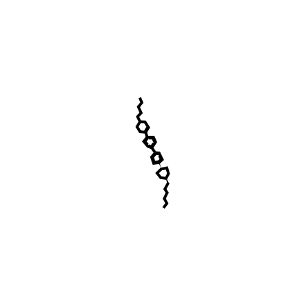 CCCCCC[C@H]1CC[C@H](c2ccc(-c3ccc(C4=CCC(CCCCC)CC4)cc3)cc2)CC1